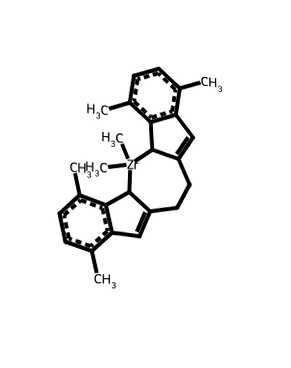 Cc1ccc(C)c2c1C=C1CCC3=Cc4c(C)ccc(C)c4[CH]3[Zr]([CH3])([CH3])[CH]12